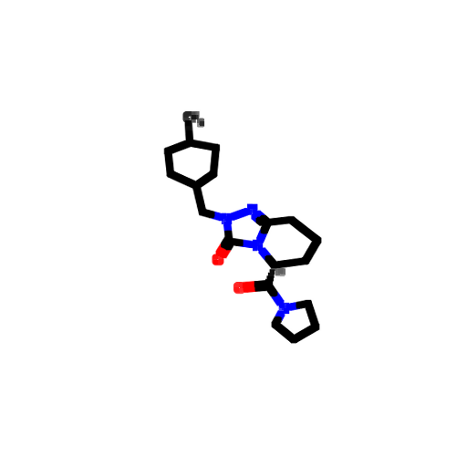 O=C([C@H]1CCCc2nn(CC3CCC(C(F)(F)F)CC3)c(=O)n21)N1CCCC1